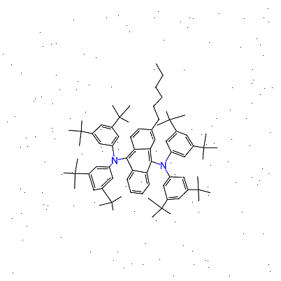 CCCCCCc1ccc2c(N(c3cc(C(C)(C)C)cc(C(C)(C)C)c3)c3cc(C(C)(C)C)cc(C(C)(C)C)c3)c3ccccc3c(N(c3cc(C(C)(C)C)cc(C(C)(C)C)c3)c3cc(C(C)(C)C)cc(C(C)(C)C)c3)c2c1